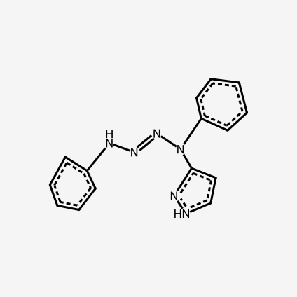 c1ccc(NN=NN(c2ccccc2)c2cc[nH]n2)cc1